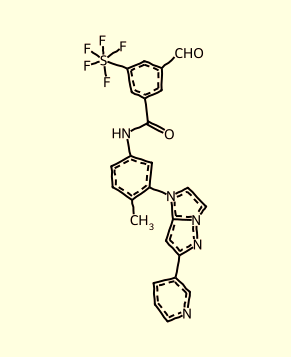 Cc1ccc(NC(=O)c2cc(C=O)cc(S(F)(F)(F)(F)F)c2)cc1-n1ccn2nc(-c3cccnc3)cc12